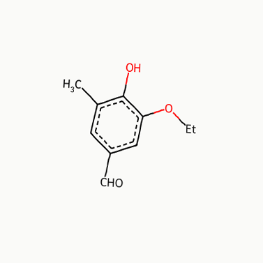 CCOc1cc(C=O)cc(C)c1O